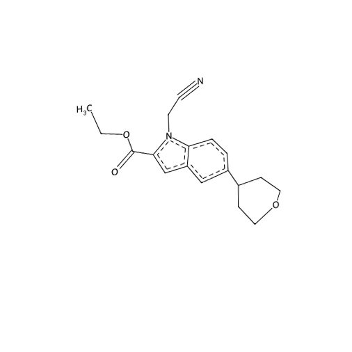 CCOC(=O)c1cc2cc(C3CCOCC3)ccc2n1CC#N